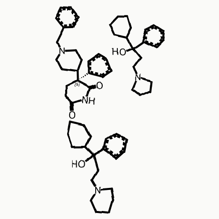 O=C1CC[C@@](c2ccccc2)(C2CCN(Cc3ccccc3)CC2)C(=O)N1.OC(CCN1CCCC1)(c1ccccc1)C1CCCCC1.OC(CCN1CCCCC1)(c1ccccc1)C1CCCCC1